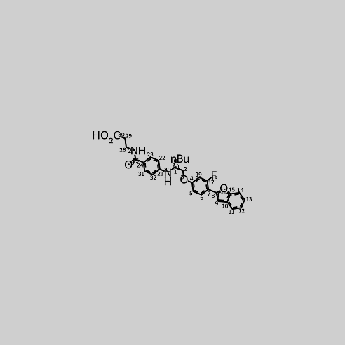 CCCC[C@@H](COc1ccc(-c2cc3ccccc3o2)c(F)c1)Nc1ccc(C(=O)NCCC(=O)O)cc1